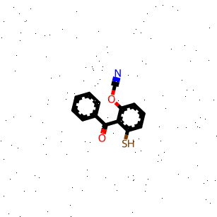 N#COc1cccc(S)c1C(=O)c1ccccc1